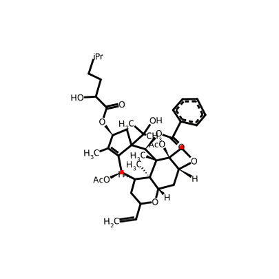 C=CC1C[C@H]2[C@@H](OC(C)=O)C3=C(C)[C@@H](OC(=O)C(O)CCC(C)C)CC3(C(C)(C)O)[C@@H](OC(=O)c3ccccc3)[C@@]3(C)[C@@]2(C)[C@H](C[C@H]2OC[C@]23OC(C)=O)O1